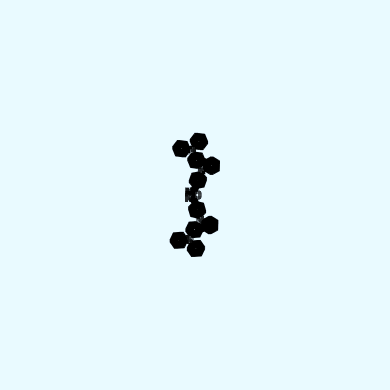 c1ccc(N(c2ccccc2)c2ccc3c(c2)c2ccccc2n3-c2ccc(-c3nnc(-c4ccc(-n5c6ccccc6c6cc(N(c7ccccc7)c7ccccc7)ccc65)cc4)o3)cc2)cc1